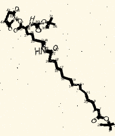 CC(C)(C)OC(=O)CCCCCCCCCCCCCCC(=O)NCCCCC(NC(=O)OC(C)(C)C)C(=O)ON1C(=O)CCC1=O